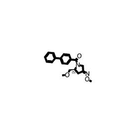 COC[C@@H]1CC(=NOC)CN1C(=O)c1ccc(-c2ccccc2)cc1